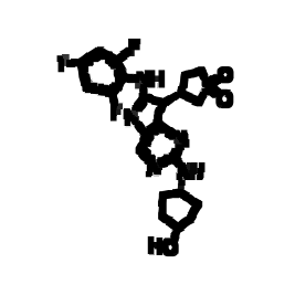 O=S1(=O)CC[C@H](C2C(Nc3c(F)cc(F)cc3F)=Nc3cnc(N[C@H]4CC[C@H](O)CC4)nc32)C1